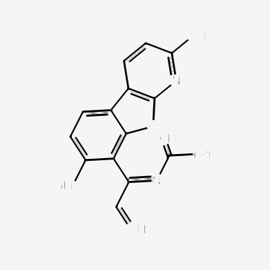 C=C/C(=N/C(=C)CCC)c1c(CCC)ccc2c1oc1nc(C)ccc12